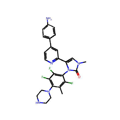 Cc1c(F)c(-n2c(-c3cc(-c4ccc(N)cc4)ccn3)cn(C)c2=O)c(F)c(F)c1N1CCNCC1